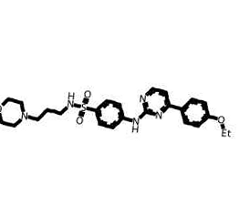 CCOc1ccc(-c2ccnc(Nc3ccc(S(=O)(=O)NCCCN4CCOCC4)cc3)n2)cc1